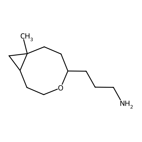 CC12CCC(CCCN)OCCC1C2